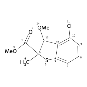 COC(=O)C1(C)Sc2cccc(Cl)c2C1OC